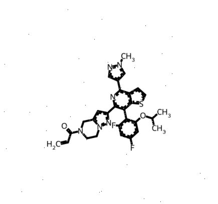 C=CC(=O)N1CCn2nc(-c3nc(-c4cnn(C)c4)c4ccsc4c3-c3c(F)cc(F)cc3OC(C)C)cc2C1